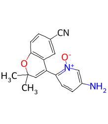 CC1(C)C=C(c2ccc(N)c[n+]2[O-])c2cc(C#N)ccc2O1